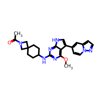 COc1nc(NC2CCC3(CC2)CN(C(C)=O)C3)nc2[nH]cc(-c3ccn4nccc4c3)c12